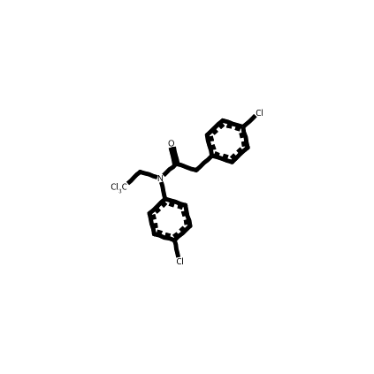 O=C(Cc1ccc(Cl)cc1)N(CC(Cl)(Cl)Cl)c1ccc(Cl)cc1